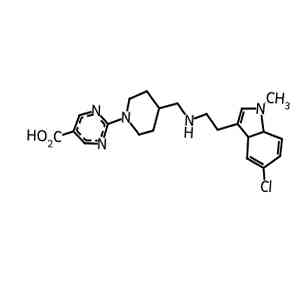 CN1C=C(CCNCC2CCN(c3ncc(C(=O)O)cn3)CC2)C2C=C(Cl)C=CC21